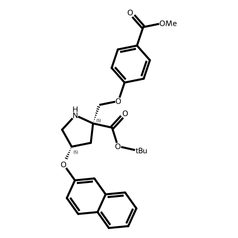 COC(=O)c1ccc(OC[C@]2(C(=O)OC(C)(C)C)C[C@H](Oc3ccc4ccccc4c3)CN2)cc1